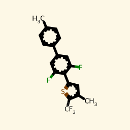 Cc1ccc(-c2cc(F)c(-c3cc(C)c(C(F)(F)F)s3)c(F)c2)cc1